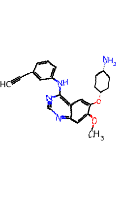 C#Cc1cccc(Nc2ncnc3cc(OC)c(O[C@H]4CC[C@@H](N)CC4)cc23)c1